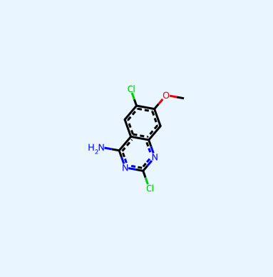 COc1cc2nc(Cl)nc(N)c2cc1Cl